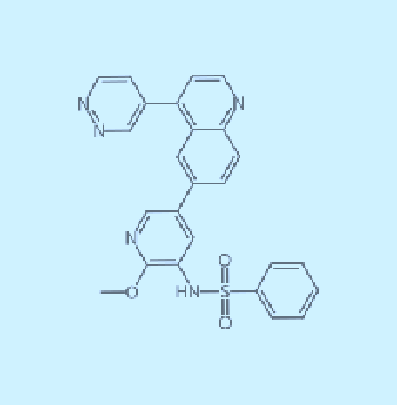 COc1ncc(-c2ccc3nccc(-c4ccnnc4)c3c2)cc1NS(=O)(=O)c1ccccc1